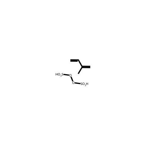 C=CC(=C)C.O=S(=O)(O)OOS(=O)(=O)O